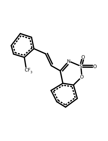 O=S1(=O)N=C(/C=C/c2ccccc2C(F)(F)F)c2ccccc2O1